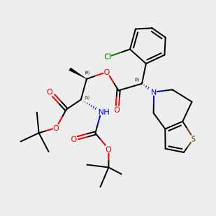 C[C@@H](OC(=O)[C@H](c1ccccc1Cl)N1CCc2sccc2C1)[C@H](NC(=O)OC(C)(C)C)C(=O)OC(C)(C)C